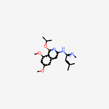 C/N=C(\C=C(C)C)Nc1cc2cc(OC)cc(OC)c2c(OC(C)C)n1